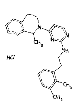 Cc1cccc(CCNc2nccc(N3CCc4ccccc4C3C)n2)c1C.Cl